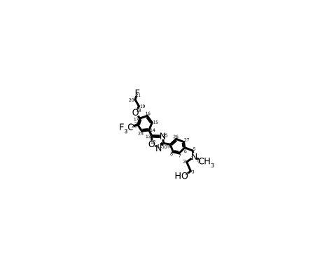 CN(CCO)Cc1ccc(-c2noc(-c3ccc(OCCF)c(C(F)(F)F)c3)n2)cc1